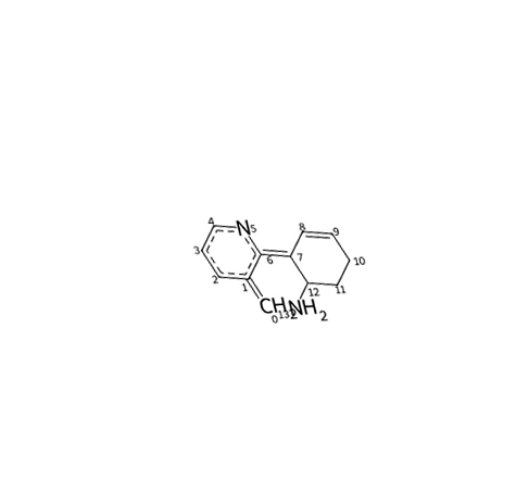 C=c1cccn/c1=C1\C=CCCC1N